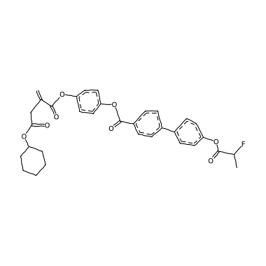 C=C(CC(=O)OC1CCCCC1)C(=O)Oc1ccc(OC(=O)c2ccc(-c3ccc(OC(=O)C(C)F)cc3)cc2)cc1